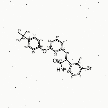 Cc1c(Br)ccc2c1C(=Cc1cccc(Oc3ccc(C(C)(C)C)cc3)c1)C(=O)N2